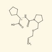 C=CCOCC1CCCN1C(=O)N[C@H](C(=O)O)C1CCCC1